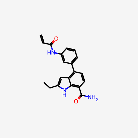 C=CC(=O)Nc1cccc(-c2ccc(C(N)=O)c3[nH]c(CC)cc23)c1